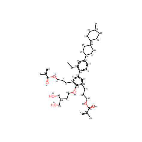 C=C(C)C(=O)OCCCc1cc(-c2ccc(C3CCC(C4CCC(C)CC4)CC3)cc2CC)cc(CCCOC(=O)C(=C)C)c1OCCC(CO)CO